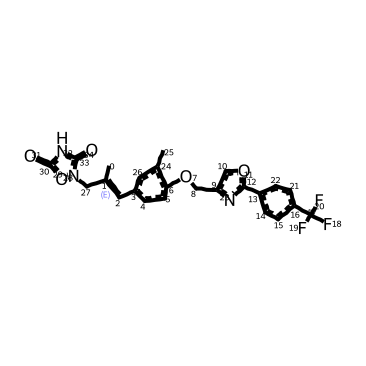 C/C(=C\c1ccc(OCc2coc(-c3ccc(C(F)(F)F)cc3)n2)c(C)c1)Cn1oc(=O)[nH]c1=O